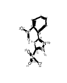 O=[N+]([O-])c1ccccc1-c1nnc(S(=O)(=O)Cl)s1